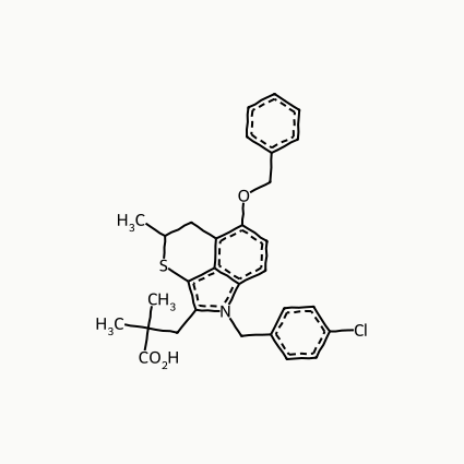 CC1Cc2c(OCc3ccccc3)ccc3c2c(c(CC(C)(C)C(=O)O)n3Cc2ccc(Cl)cc2)S1